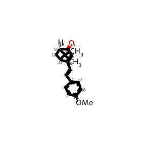 COc1ccc(C=CC2=CC(=O)[C@@H]3CC2C3(C)C)cc1